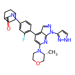 C[C@@H]1COCCN1c1cc(-c2ccc(N3C(=O)C4CCC3CC4)cc2F)c2cnn(-c3cc[nH]n3)c2n1